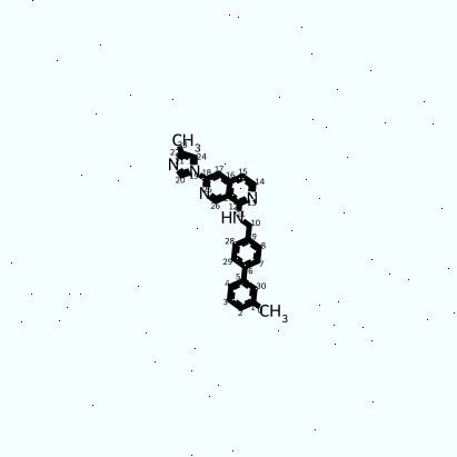 Cc1cccc(-c2ccc(CNc3nccc4cc(-n5cnc(C)c5)ncc34)cc2)c1